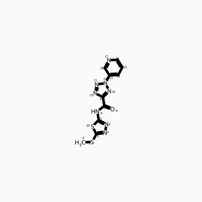 CSc1nnc(NC(=O)c2nnn(-c3cccnc3)n2)s1